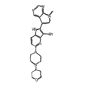 CC(C)c1c(-c2cn(C)c3ncncc23)[nH]c2ccc(N3CCN(C4CCOCC4)CC3)nc12